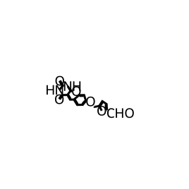 O=Cc1ccc(COc2ccc(C=C3C(=O)NC(=O)NC3=O)cc2)o1